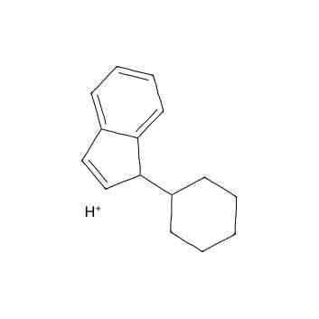 C1=CC(C2CCCCC2)c2ccccc21.[H+]